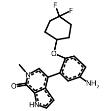 Cn1cc(-c2cc(N)ccc2OC2CCC(F)(F)CC2)c2cc[nH]c2c1=O